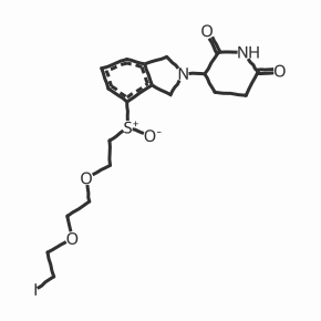 O=C1CCC(N2Cc3cccc([S+]([O-])CCOCCOCCI)c3C2)C(=O)N1